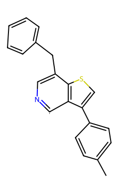 Cc1ccc(-c2csc3c(Cc4ccccc4)cn[c]c23)cc1